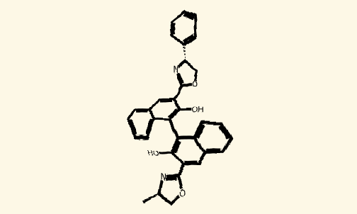 C[C@@H]1COC(c2cc3ccccc3c(-c3c(O)c(C4=N[C@H](c5ccccc5)CO4)cc4ccccc34)c2O)=N1